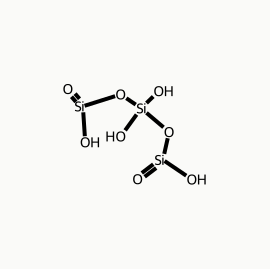 O=[Si](O)O[Si](O)(O)O[Si](=O)O